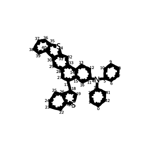 c1ccc(N(c2ccccc2)c2ccc3c(c2)c(-c2csc4ccccc24)cc2cc4c(cc23)sc2ccccc24)cc1